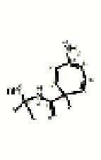 C=C(NC(C)(C)CCC)C1(C)C=CC=C(N)C=C1